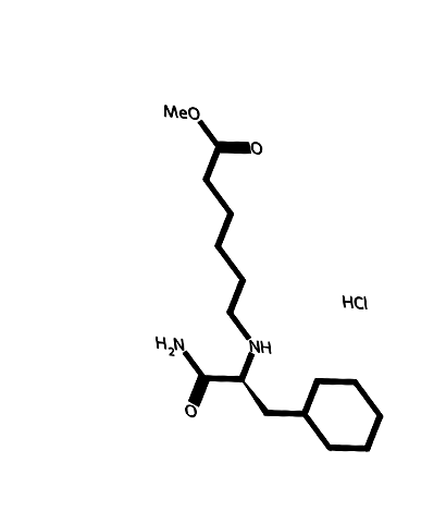 COC(=O)CCCCCN[C@@H](CC1CCCCC1)C(N)=O.Cl